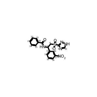 O=C(NC(CS(=O)(=O)c1nc[nH]n1)c1cccc([N+](=O)[O-])c1)c1ccccc1